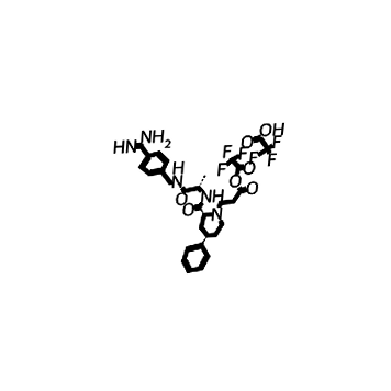 C[C@H](NC(=O)[C@H]1C[C@@H](c2ccccc2)CCN1CCC(=O)OC(=O)C(F)(F)F)C(=O)NCc1ccc(C(=N)N)cc1.O=C(O)C(F)(F)F